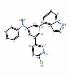 CC(=O)N(c1ccccc1)c1cc(-c2ccc(Cl)nc2)cc(-c2cccc3[nH]ccc23)c1